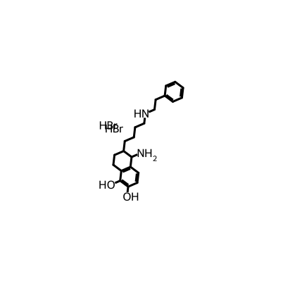 Br.Br.NC1c2ccc(O)c(O)c2CCC1CCCCNCCc1ccccc1